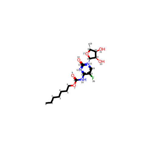 CCCCCCCOC(=O)Nc1nc(=O)n([C@@H]2O[C@H](C)[C@@H](O)[C@H]2O)cc1F